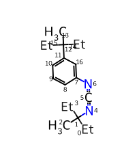 CCC(C)(CC)N=C=Nc1cccc(C(C)(CC)CC)c1